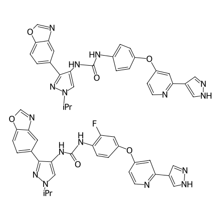 CC(C)n1cc(NC(=O)Nc2ccc(Oc3ccnc(-c4cn[nH]c4)c3)cc2)c(-c2ccc3ocnc3c2)n1.CC(C)n1cc(NC(=O)Nc2ccc(Oc3ccnc(-c4cn[nH]c4)c3)cc2F)c(-c2ccc3ocnc3c2)n1